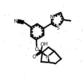 Cc1cnc(-c2cc(C#N)cc(OC3CC4CCC(C3)N4C(=O)O)c2)s1